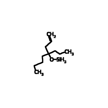 C=CCC(CCC)(CCCC)O[SiH3]